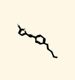 CCCCCc1ccc(C#Cc2ccc(I)s2)cc1